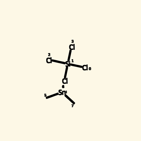 Cl[Si](Cl)(Cl)Cl.[CH3][Sn][CH3]